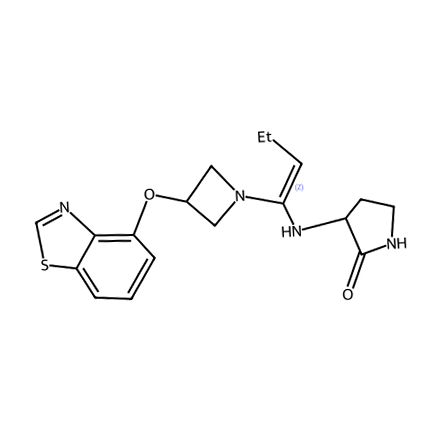 CC/C=C(/NC1CCNC1=O)N1CC(Oc2cccc3scnc23)C1